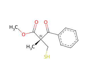 COC(=O)[C@@](C)(CS)C(=O)c1ccccc1